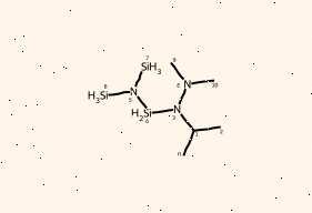 CC(C)N([SiH2]N([SiH3])[SiH3])N(C)C